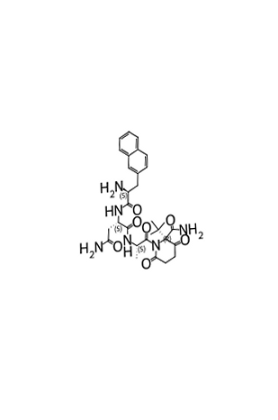 C[C@H](NC(=O)[C@H](CC(N)=O)NC(=O)[C@@H](N)Cc1ccc2ccccc2c1)C(=O)N1C(=O)CCC(=O)[C@@]1(C(N)=O)C(C)(C)C